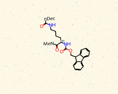 CCCCCCCCCCC(=O)NCCCC[C@@H](NC(=O)OCC1c2ccccc2-c2ccccc21)C(=O)NC